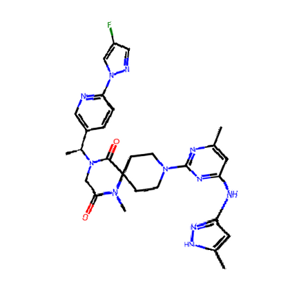 Cc1cc(Nc2cc(C)[nH]n2)nc(N2CCC3(CC2)C(=O)N([C@@H](C)c2ccc(-n4cc(F)cn4)nc2)CC(=O)N3C)n1